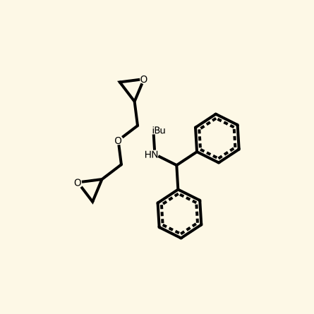 C(OCC1CO1)C1CO1.CCC(C)NC(c1ccccc1)c1ccccc1